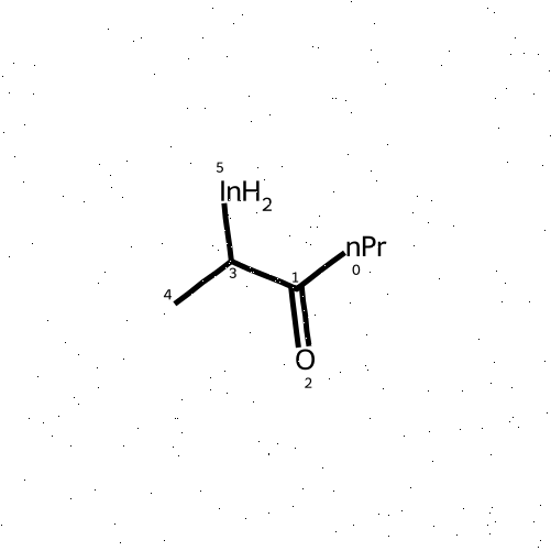 CCCC(=O)[CH](C)[InH2]